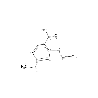 COc1ccc(B(O)O)c(OC=O)c1